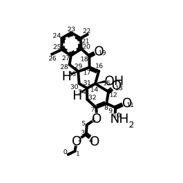 CCOC(=O)COC1=C(C(N)=O)C(=O)[C@@]2(O)C=C3C(=O)c4c(C)ccc(C)c4C[C@H]3C[C@H]2C1